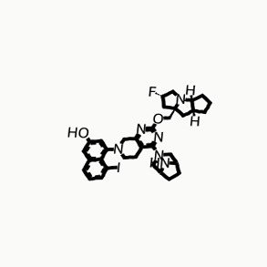 Oc1cc(N2CCc3c(nc(OC[C@@]45C[C@H](F)CN4[C@@H]4CCC[C@@H]4C5)nc3N3CC4CCC(C3)N4)C2)c2c(I)cccc2c1